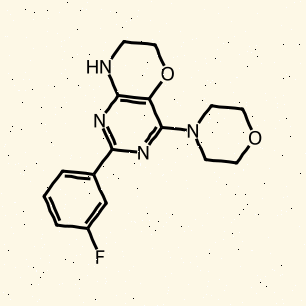 Fc1cccc(-c2nc3c(c(N4CCOCC4)n2)OCCN3)c1